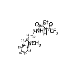 CC[C@H](NC(=O)C(F)(F)F)C(=O)NCCCc1cc2ccccc2n1C